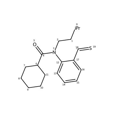 CC(C)CCN(C(=O)C1CCCCC1)c1ccccc1[C]=S